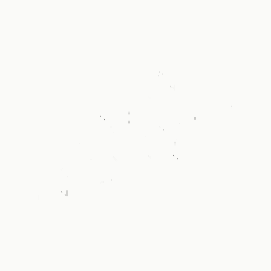 CCNC(=O)c1cccc(-c2noc(-c3cnn(CC(C)O)c3C(F)(F)F)c2-c2ccncn2)c1Cl